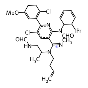 C=CCCN(/C(=N/C)c1cc(Cl)c(C2=C(Cl)CCC(OC)=C2)nc1N(C=O)C1C=CC=CC1C(C)C)C(C)CNC=O